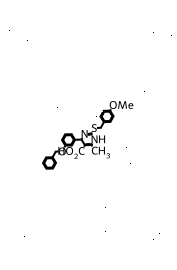 COc1ccc(CSC2=NC(c3cccc(OCc4ccccc4)c3)C(C(=O)O)=C(C)N2)cc1